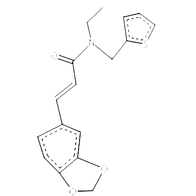 CCN(Cc1cccs1)C(=O)C=Cc1ccc2c(c1)OCO2